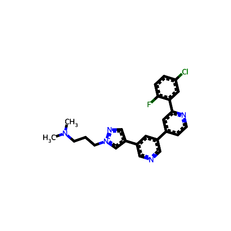 CN(C)CCCn1cc(-c2cncc(-c3ccnc(-c4cc(Cl)ccc4F)c3)c2)cn1